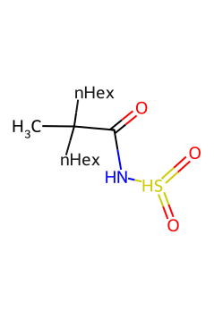 CCCCCCC(C)(CCCCCC)C(=O)N[SH](=O)=O